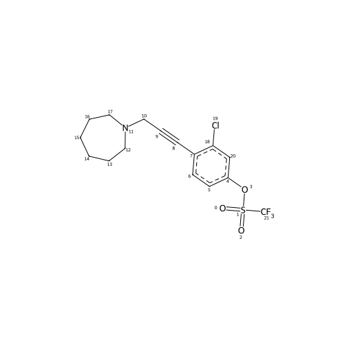 O=S(=O)(Oc1ccc(C#CCN2CCCCCC2)c(Cl)c1)C(F)(F)F